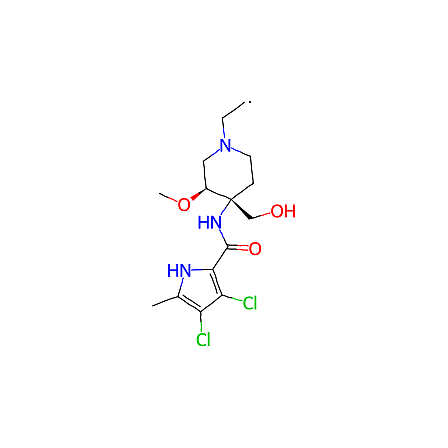 [CH2]CN1CC[C@](CO)(NC(=O)c2[nH]c(C)c(Cl)c2Cl)[C@@H](OC)C1